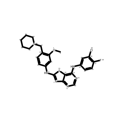 COc1cc(Nc2nc3ncnc(Nc4ccc(F)c(Cl)c4)c3s2)ccc1CN1CCCCC1